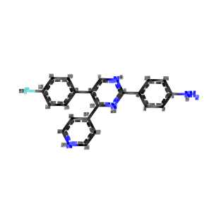 Nc1ccc(-c2ncc(-c3ccc(F)cc3)c(-c3ccncc3)n2)cc1